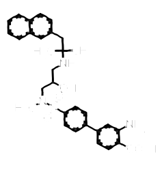 CN(CC(O)CNC(C)(C)Cc1ccc2ccccc2c1)S(=O)(=O)c1ccc(-c2ccc(C(=O)O)c(N)c2)cc1